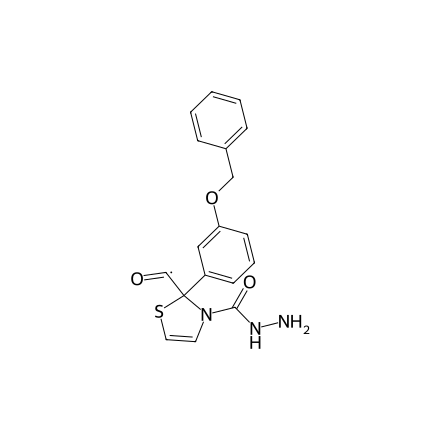 NNC(=O)N1C=CSC1([C]=O)c1cccc(OCc2ccccc2)c1